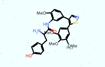 COc1ccc(-c2cnsc2-c2cc(OC)c(OC)c(OC)c2)cc1NC(=O)C(N)Cc1ccc(O)cc1.Cl